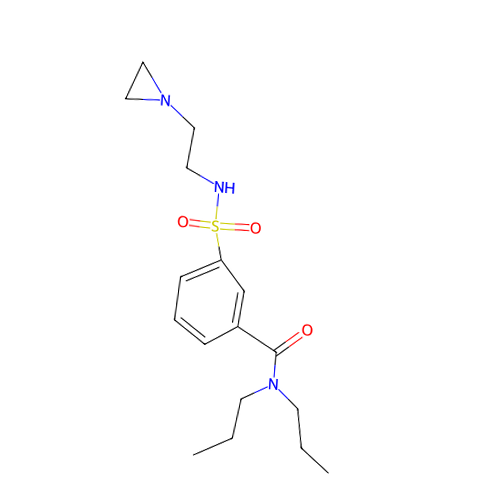 CCCN(CCC)C(=O)c1cccc(S(=O)(=O)NCCN2CC2)c1